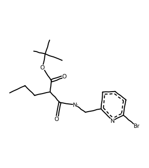 CCCC(C(=O)[N]Cc1cccc(Br)n1)C(=O)OC(C)(C)C